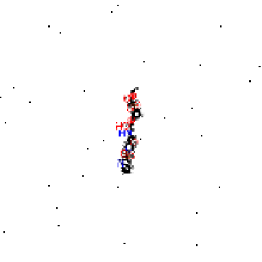 CCOC(=O)C(C)(C)S(=O)(=O)c1cccc(OCC(O)CN[C@H]2COC3(CCN(S(=O)(=O)c4cnc5ccccc5c4)CC3)C2)c1